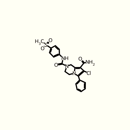 CS(=O)(=O)c1ccc(NC(=O)N2CCn3c(c(C(N)=O)c(Cl)c3-c3ccccc3)C2)cc1